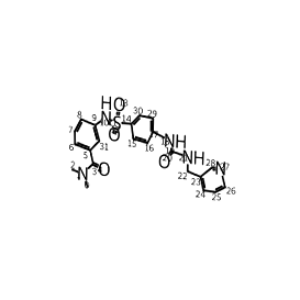 CN(C)C(=O)c1cccc(NS(=O)(=O)c2ccc(NC(=O)NCc3cccnc3)cc2)c1